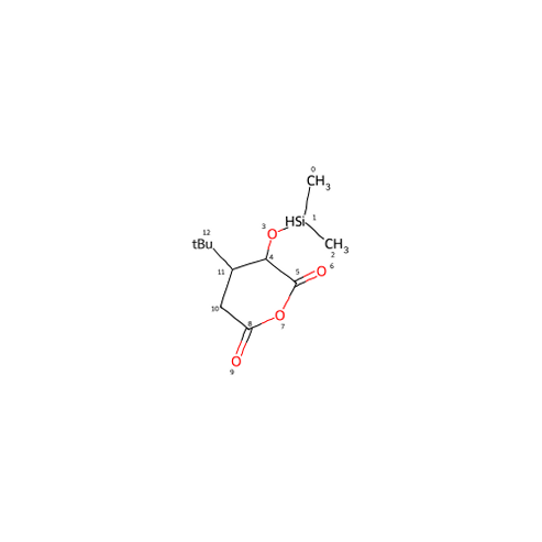 C[SiH](C)OC1C(=O)OC(=O)CC1C(C)(C)C